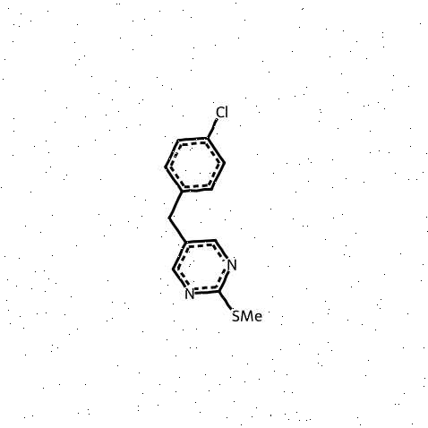 CSc1ncc(Cc2ccc(Cl)cc2)cn1